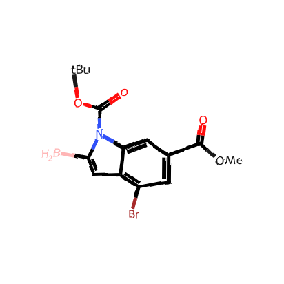 Bc1cc2c(Br)cc(C(=O)OC)cc2n1C(=O)OC(C)(C)C